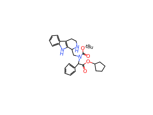 CC(C)(C)OC(=O)N(CC1NCCc2c1[nH]c1ccccc21)C(C(=O)OC1CCCC1)c1ccccc1